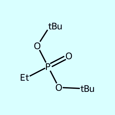 [CH2]CP(=O)(OC(C)(C)C)OC(C)(C)C